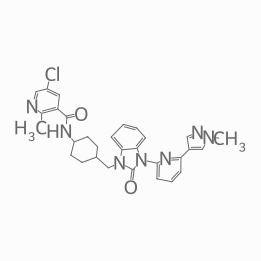 Cc1ncc(Cl)cc1C(=O)NC1CCC(Cn2c(=O)n(-c3cccc(-c4cnn(C)c4)n3)c3ccccc32)CC1